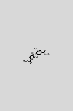 CC[C@@H]1CN(C(=O)OC(C)(C)C)CC[C@H]1Nc1ncc(C(=O)OC)nc1Cl